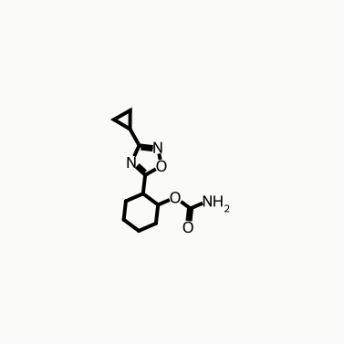 NC(=O)OC1CCCCC1c1nc(C2CC2)no1